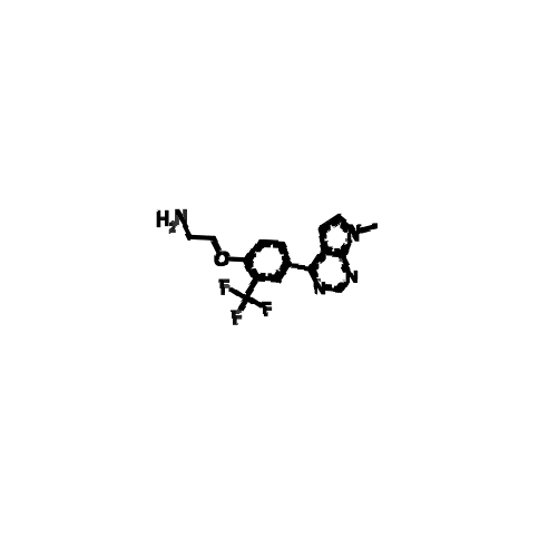 Cn1ccc2c(-c3ccc(OCCN)c(C(F)(F)F)c3)ncnc21